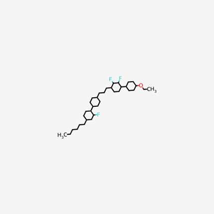 CCCCCCC1CCC(C2CCC(CCCC3CCC(C4CCC(OCC)CC4)C(F)C3F)CC2)C(F)C1